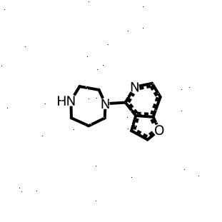 c1cc2occc2c(N2CCCNCC2)n1